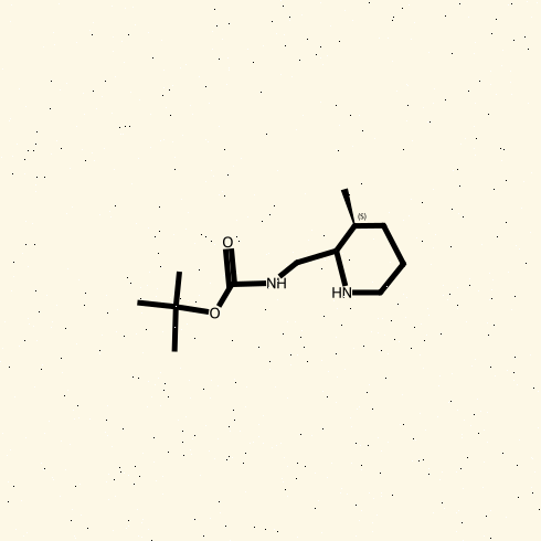 C[C@H]1CCCNC1CNC(=O)OC(C)(C)C